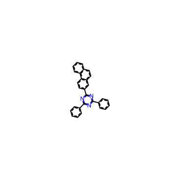 c1ccc(-c2nc(-c3ccccc3)nc(-c3ccc4c(ccc5ccccc54)c3)n2)cc1